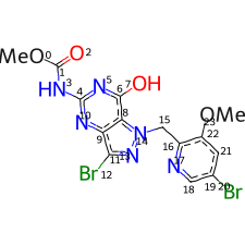 COC(=O)Nc1nc(O)c2c(n1)c(Br)nn2Cc1ncc(Br)cc1OC